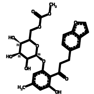 COC(=O)OCC1O[C@@H](Oc2cc(C)cc(O)c2C(=O)CCc2ccc3occc3c2)C(O)[C@@H](O)[C@@H]1O